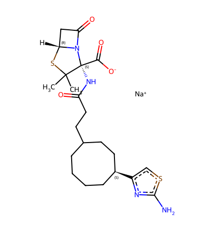 CC1(C)S[C@@H]2CC(=O)N2[C@@]1(NC(=O)CCC1CCCC[C@H](c2csc(N)n2)CC1)C(=O)[O-].[Na+]